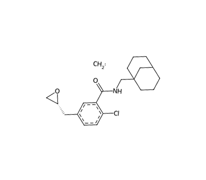 O=C(NCC12CCCC(CCC1)C2)c1cc(C[C@@H]2CO2)ccc1Cl.[CH2]